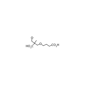 CC(C[O])(COCCCC(=O)O)C(=O)O